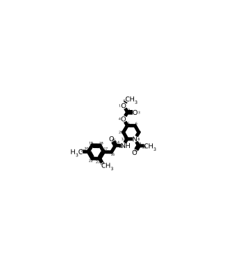 COC(=O)OC1CCN(C(C)=O)C(NC(=O)Cc2ccc(C)cc2C)C1